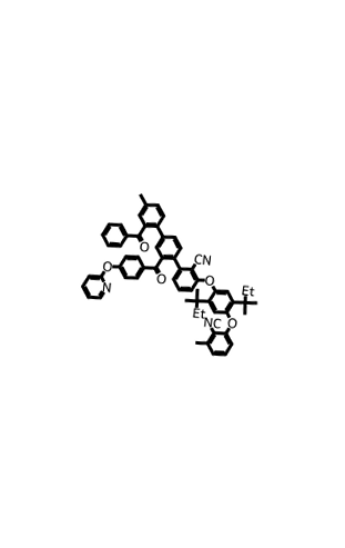 CCC(C)(C)c1cc(Oc2cccc(-c3ccc(-c4ccc(C)cc4C(=O)c4ccccc4)cc3C(=O)c3ccc(Oc4ccccn4)cc3)c2C#N)c(C(C)(C)CC)cc1Oc1cccc(C)c1C#N